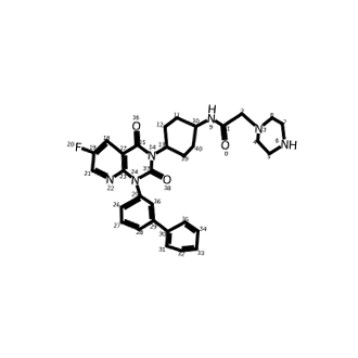 O=C(CN1CCNCC1)NC1CCC(n2c(=O)c3cc(F)cnc3n(-c3cccc(-c4ccccc4)c3)c2=O)CC1